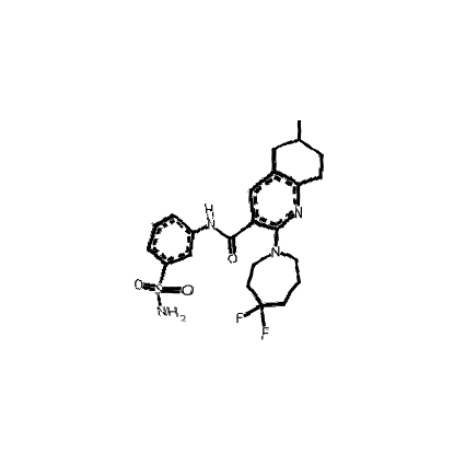 CC1CCc2nc(N3CCCC(F)(F)CC3)c(C(=O)Nc3cccc(S(N)(=O)=O)c3)cc2C1